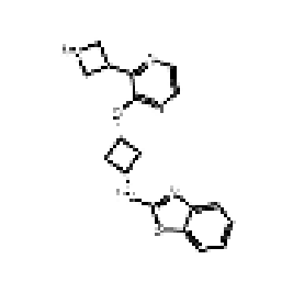 c1ccc2sc(N[C@H]3C[C@@H](Oc4nccnc4C4CNC4)C3)nc2c1